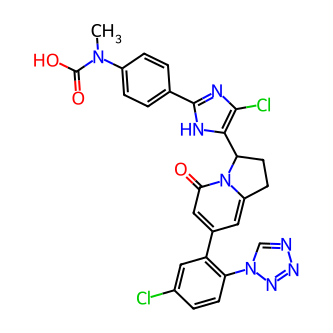 CN(C(=O)O)c1ccc(-c2nc(Cl)c(C3CCc4cc(-c5cc(Cl)ccc5-n5cnnn5)cc(=O)n43)[nH]2)cc1